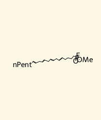 CCCCC/C=C/C/C=C/C/C=C/C/C=C/CCCCP(=O)(F)OC